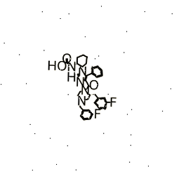 O=C(O)N[C@H]1CCCC[C@@H]1n1cnc(C(=O)N2CCN(Cc3ccccc3)C[C@H]2Cc2cc(F)cc(F)c2)c1-c1ccccc1